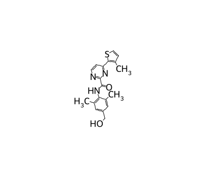 Cc1ccsc1-c1ccnc(C(=O)Nc2c(C)cc(CO)cc2C)n1